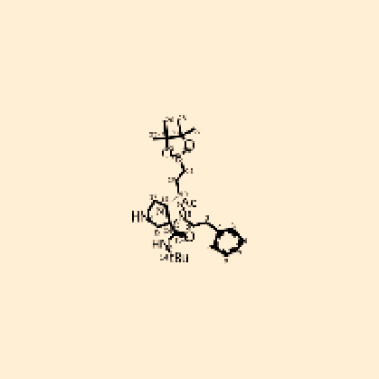 CC(=O)N(CCc1ccccc1)[C@]1(C(=O)NC(C)(C)C)CNC[C@@H]1CCCB1OC(C)(C)C(C)(C)O1